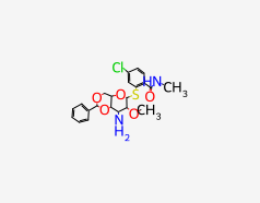 CNC(=O)c1ccc(Cl)cc1SC1OC2COC(c3ccccc3)OC2C(N)C1OC